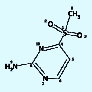 CS(=O)(=O)c1ccnc(N)n1